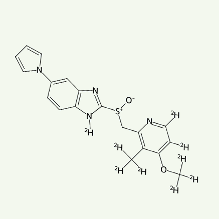 [2H]c1nc(C[S+]([O-])c2nc3cc(-n4cccc4)ccc3n2[2H])c(C([2H])([2H])[2H])c(OC([2H])([2H])[2H])c1[2H]